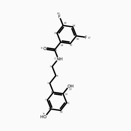 O=C(NCCCc1cc(O)ccc1O)c1cc(F)cc(F)c1